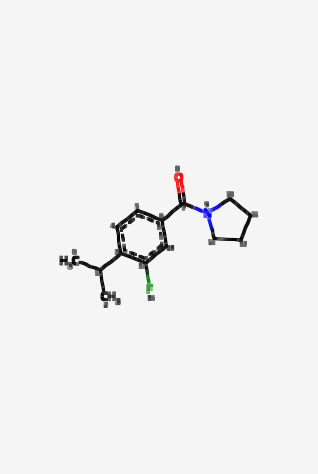 CC(C)c1ccc(C(=O)N2CCCC2)cc1F